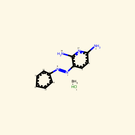 B.Cl.Nc1ccc(/N=N/c2ccccc2)c(N)n1